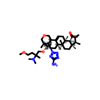 COCCC(C)(CO[C@H]1[C@H](n2nnc(N)n2)C[C@@]23COC[C@]1(C)[C@@H]2CC[C@H]1C3=CC[C@@]2(C)[C@H](C(=O)O)[C@@](C)([C@H](C)C(C)C)CC[C@]12C)N(C)C